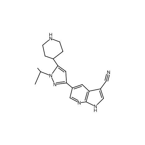 CC(C)n1nc(-c2cnc3[nH]cc(C#N)c3c2)cc1C1CCNCC1